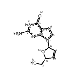 Nc1nc2c(ncn2[C@H]2C=C[C@@H](CO)O2)c(=O)[nH]1